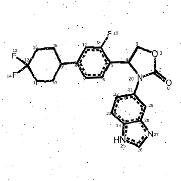 O=C1OCC(c2ccc(C3CCC(F)(F)CC3)cc2F)N1c1ccc2[nH]cnc2c1